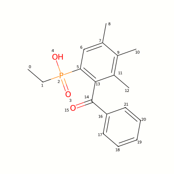 CCP(=O)(O)c1cc(C)c(C)c(C)c1C(=O)c1ccccc1